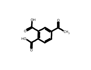 CC(=O)c1ccc(C(=O)O)c(C(=O)O)c1